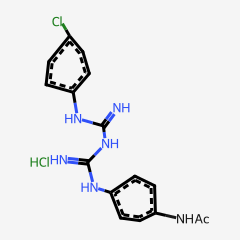 CC(=O)Nc1ccc(NC(=N)NC(=N)Nc2ccc(Cl)cc2)cc1.Cl